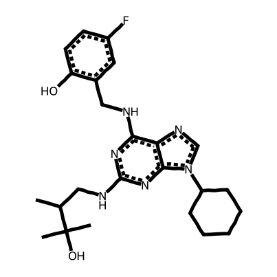 CC(CNc1nc(NCc2cc(F)ccc2O)c2ncn(C3CCCCC3)c2n1)C(C)(C)O